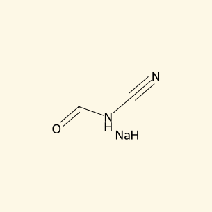 N#CNC=O.[NaH]